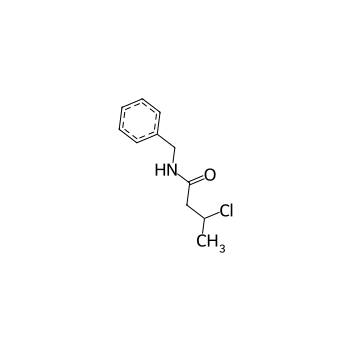 CC(Cl)CC(=O)NCc1ccccc1